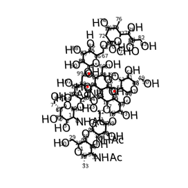 CC(=O)NC1C(O)[C@H](O)[C@H](CO)O[C@H]1OC1[C@@H](OCC2O[C@@H](O[C@@H]3C(CO)O[C@@H](O[C@@H]4C(CO)O[C@@H](C)C(NC(C)=O)[C@H]4O)C(NC(C)=O)[C@H]3O)C(O)[C@@H](O[C@H]3O[C@@H](CO)C(O)C(O)C3O[C@@H]3OC(CO)[C@@H](OC4OC(CO[C@]5(OC=O)C[C@@H](O)[C@@H](C)C(C(O)[C@H](O)CO)O5)[C@H](O)[C@H](O)[C@@H]4O)[C@H](O)C3NC(C)=O)[C@@H]2O)OC(CO)[C@@H](O)[C@@H]1O